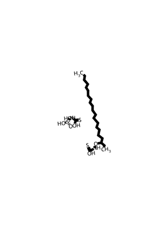 CCCCCCCCCCCCCCCCCCC(CC)ONC(O)=S.NC(O)=S.O=S(O)O